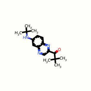 CC(C)(C)Nc1ccc2nc(C(=O)C(C)(C)C)cnc2c1